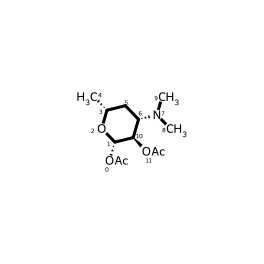 CC(=O)O[C@@H]1O[C@H](C)C[C@H](N(C)C)[C@H]1OC(C)=O